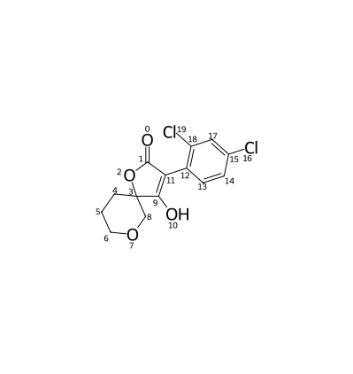 O=C1OC2(CCCOC2)C(O)=C1c1ccc(Cl)cc1Cl